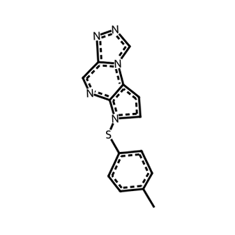 Cc1ccc(Sn2ccc3c2ncc2nncn23)cc1